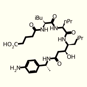 CCC[C@H](NC(=O)[C@@H](NC(=O)CCCC(=O)O)[C@@H](C)CC)C(=O)N[C@@H](CC(C)C)[C@@H](O)CC(=O)N[C@H](C)c1ccc(N)cc1